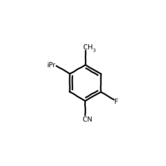 Cc1cc(F)c(C#N)cc1C(C)C